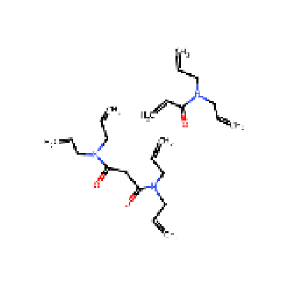 C=CCN(CC=C)C(=O)C=C.C=CCN(CC=C)C(=O)CC(=O)N(CC=C)CC=C